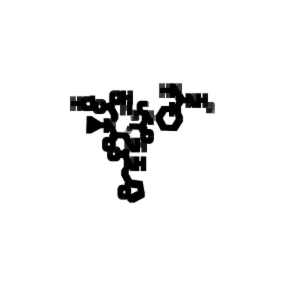 CN(C(=O)C[C@H](NC(=O)NCc1ccco1)C(=O)N(CC(=O)O)C1CC1)[C@H]1CCCN(C(=N)N)C1.Cl